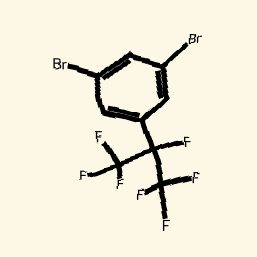 FC(F)(F)C(F)(c1cc(Br)[c]c(Br)c1)C(F)(F)F